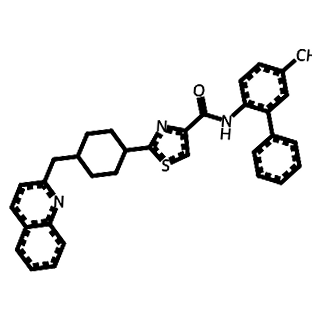 Cc1ccc(NC(=O)c2csc(C3CCC(Cc4ccc5ccccc5n4)CC3)n2)c(-c2ccccc2)c1